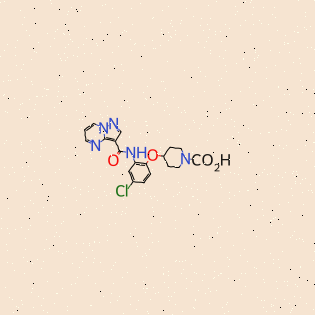 O=C(Nc1cc(Cl)ccc1OC1CCN(C(=O)O)CC1)c1cnn2cccnc12